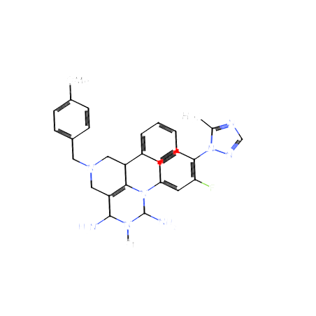 CCN1C(N)C2=C(C(c3ccccc3)CN(Cc3ccc(OC)cc3)C2)N(c2ccc(-n3ncnc3C)c(F)c2)C1N